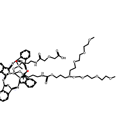 COCCOCCOCCN(CCCOC(=O)NCCC[Si](C)(C)O[Si]1(O[Si](C)(C)CCCNC(=O)COCC(=O)O)n2c3c4ccccc4c2/N=C2N=C(/N=c4/c5ccccc5/c(n41)=N/C1=NC(=N\3)/c3ccccc31)c1ccccc1\2)CCOCCOCCOC